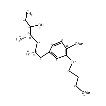 COCCCOc1cc(C[C@@H](C[C@H](N)C(O)CN)C(C)C)ccc1OC